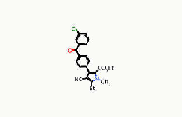 CCOC(=O)c1c(-c2ccc(C(=O)c3cccc(Cl)c3)cc2)c(C#N)c(CC)n1C